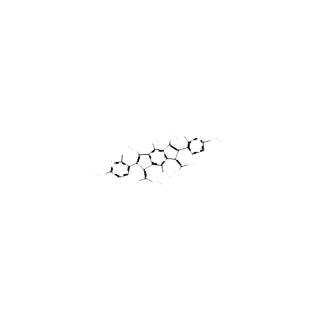 N#CC(C#N)=C1C(c2ccc(C#N)nc2F)=C(C#N)c2c(C#N)c3c(c(C#N)c21)C(=C(C#N)C#N)C(c1ccc(C#N)nc1F)=C3C#N